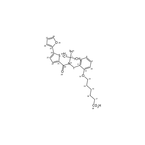 [2H]C(C)(C)N(Cc1ccccc1OCCCCCC(=O)O)C(=O)c1ccc(-c2ccco2)s1